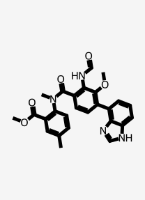 COC(=O)c1cc(C)ccc1N(C)C(=O)c1ccc(-c2cccc3[nH]cnc23)c(OC)c1NC=O